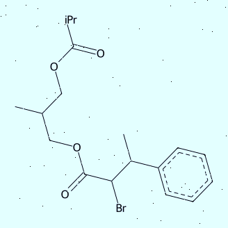 CC(COC(=O)C(C)C)COC(=O)C(Br)C(C)c1ccccc1